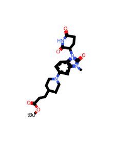 Cn1c(=O)n(C2CCC(=O)NC2=O)c2ccc(N3CCC(CCC(=O)OC(C)(C)C)CC3)cc21